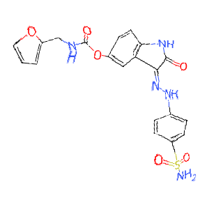 NS(=O)(=O)c1ccc(NN=C2C(=O)Nc3ccc(OC(=O)NCc4ccco4)cc32)cc1